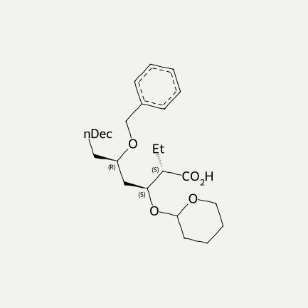 CCCCCCCCCCC[C@H](C[C@H](OC1CCCCO1)[C@H](CC)C(=O)O)OCc1ccccc1